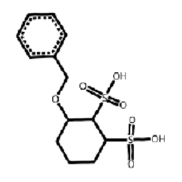 O=S(=O)(O)C1CCCC(OCc2ccccc2)C1S(=O)(=O)O